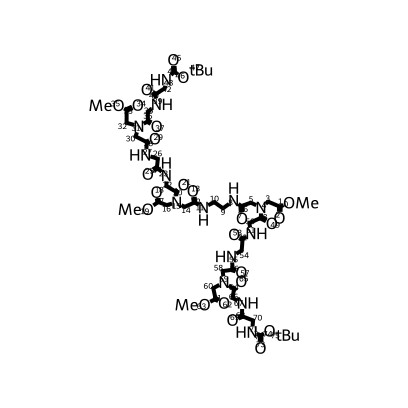 COC(=O)CN(CC(=O)NCCNC(=O)CN(CC(=O)OC)C(=O)CNC(=O)CNC(=O)CN(CC(=O)OC)C(=O)CNC(=O)CNC(=O)OC(C)(C)C)C(=O)CNC(=O)CNC(=O)CN(CC(=O)OC)C(=O)CNC(=O)CNC(=O)OC(C)(C)C